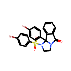 O=C1c2ccccc2C2(c3ccc(Br)cc3)N1CCN2S(=O)(=O)c1ccc(Br)cc1